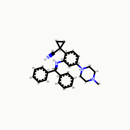 CN1CCN(c2ccc(C3(C#N)CC3)c(N=C(c3ccccc3)c3ccccc3)c2)CC1